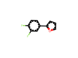 Fc1ccc(-c2cc[c]o2)cc1F